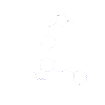 Bc1cnn2c(NCc3cccnc3)cc(C3CCN(C(=O)C4CCC(=O)N4)CC3)nc12